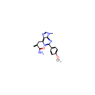 C=C(Cc1nc(-c2ccc(OC(F)(F)F)cc2)nc2c1ncn2C)C(N)=O